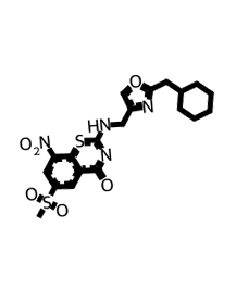 CS(=O)(=O)c1cc([N+](=O)[O-])c2sc(NCc3coc(CC4CCCCC4)n3)nc(=O)c2c1